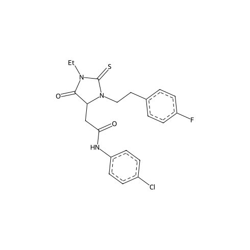 CCN1C(=O)C(CC(=O)Nc2ccc(Cl)cc2)N(CCc2ccc(F)cc2)C1=S